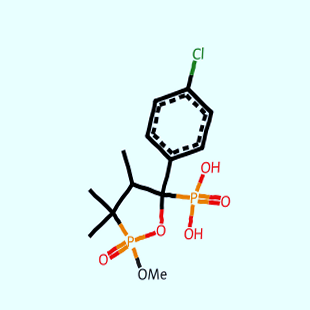 COP1(=O)OC(c2ccc(Cl)cc2)(P(=O)(O)O)C(C)C1(C)C